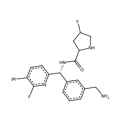 CC(C)c1ccc([C@H](NC(=O)C2CC(F)CN2)c2cccc(CN)c2)nc1F